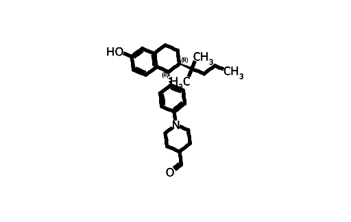 CCCC(C)(C)[C@@H]1CCc2cc(O)ccc2[C@H]1c1ccc(N2CCC(C=O)CC2)cc1